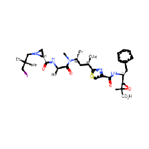 CCCC(CC)(CI)CN1C[C@@H]1C(=O)NC(C(=O)N(C)[C@H](C[C@@H](OC(C)=O)c1nc(C(=O)N[C@@H](Cc2ccccc2)C2OC2(C)C(=O)O)cs1)C(C)C)C(C)CC